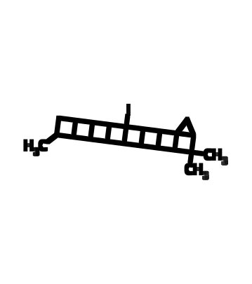 CC1CC2C1C1C2C2C1C1C3C4C(C3C21I)C12CC1C(C)(C)C42